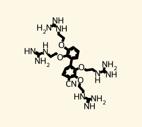 N#Cc1ccc(-c2cccc(OCCNC(=N)N)c2OCCNC(=N)N)c(OCCNC(=N)N)c1OCCNC(=N)N